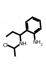 CCC(NC(C)Cl)c1ccccc1N